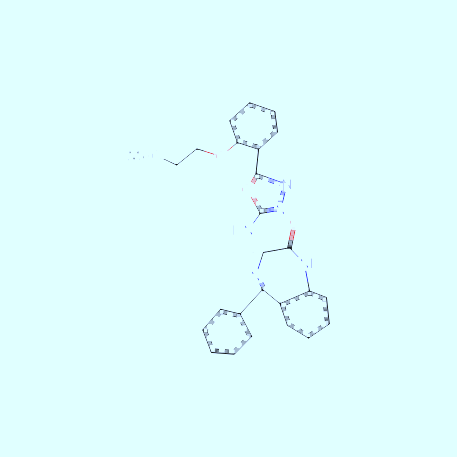 COCCOc1ccccc1-c1nnc(N[C@H]2N=C(c3ccccc3)c3ccccc3NC2=O)o1